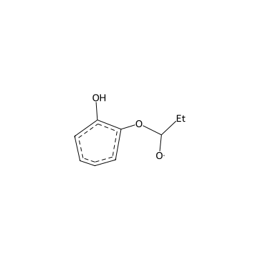 CCC([O])Oc1ccccc1O